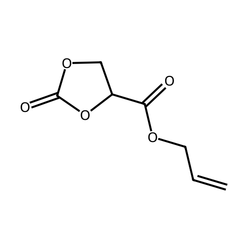 C=CCOC(=O)C1COC(=O)O1